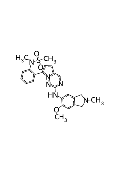 COc1cc2c(cc1Nc1ncc3ccc(-c4ccccc4N(C)S(C)(=O)=O)n3n1)CN(C)C2